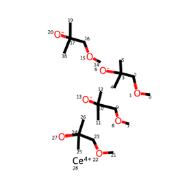 COCC(C)(C)[O-].COCC(C)(C)[O-].COCC(C)(C)[O-].COCC(C)(C)[O-].[Ce+4]